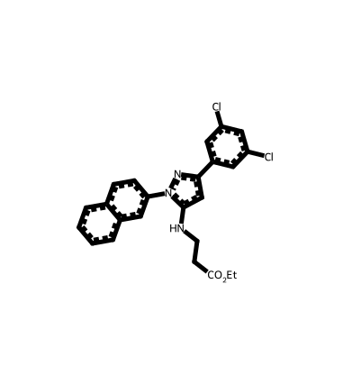 CCOC(=O)CCNc1cc(-c2cc(Cl)cc(Cl)c2)nn1-c1ccc2ccccc2c1